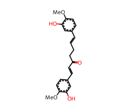 COc1ccc(/C=C/CCC(=O)/C=C/c2ccc(OC)c(O)c2)cc1O